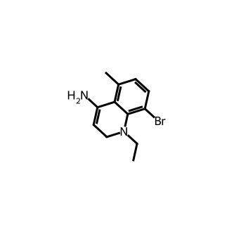 CCN1CC=C(N)c2c(C)ccc(Br)c21